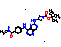 CNC(=O)c1ccc(Nc2ncnc3cnc(NC4CN(C(=O)OC(C)(C)C)C4)nc23)cc1